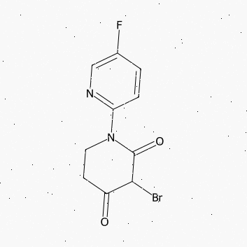 O=C1CCN(c2ccc(F)cn2)C(=O)C1Br